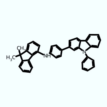 CC1(C)c2ccccc2-c2c(Nc3ccc(-c4ccc5c6ccccc6n(-c6ccccc6)c5c4)cc3)cccc21